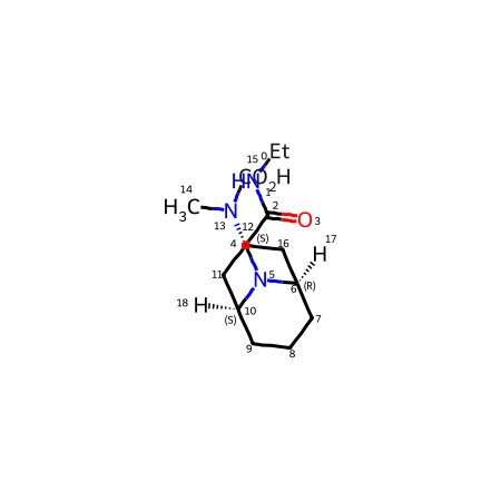 CCNC(=O)CN1[C@@H]2CCC[C@H]1C[C@H](N(C)C(=O)O)C2